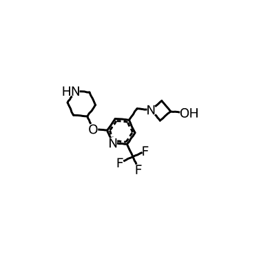 OC1CN(Cc2cc(OC3CCNCC3)nc(C(F)(F)F)c2)C1